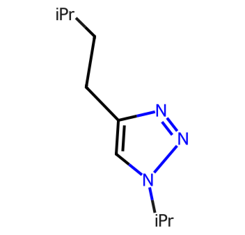 CC(C)CCc1cn(C(C)C)nn1